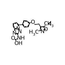 C1CC1.Cc1noc(C)c1CCOc1ccc(-c2cccc3nc(NC(=O)O)nn23)cc1